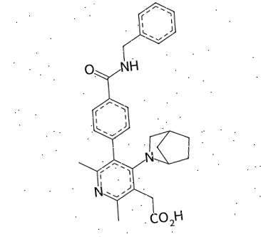 Cc1nc(C)c(-c2ccc(C(=O)NCc3ccccc3)cc2)c(N2CC3CCC2C3)c1CC(=O)O